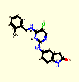 O=C1Cc2cc(Nc3ncc(Cl)c(NCc4ccccc4C(F)(F)F)n3)ccc2N1